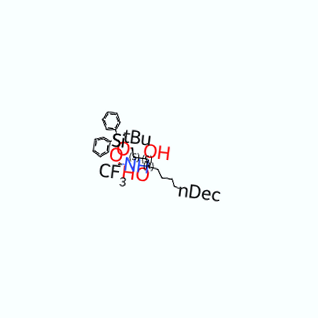 CCCCCCCCCCCCCC[C@@H](O)[C@@H](O)[C@H](CO[Si](c1ccccc1)(c1ccccc1)C(C)(C)C)NC(=O)C(F)(F)F